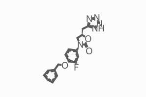 O=C1O[C@H](Cc2nnn[nH]2)CN1c1ccc(OCc2ccccc2)c(F)c1